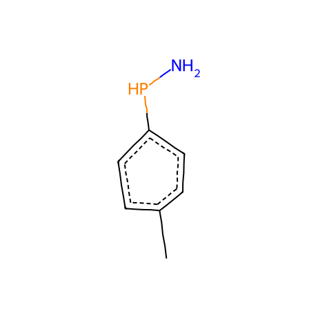 Cc1ccc(PN)cc1